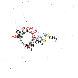 CSc1nc(/C=C(\C)[C@@H]2C[C@@H]3O[C@]3(C)CCC[C@@H]3C=C(C(=O)[C@H](C)[C@H]3O)[C@@H](O)CC(=O)O2)cs1